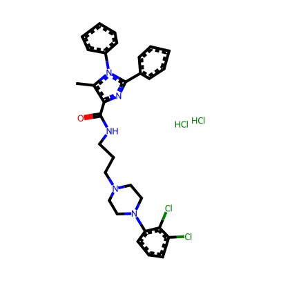 Cc1c(C(=O)NCCCN2CCN(c3cccc(Cl)c3Cl)CC2)nc(-c2ccccc2)n1-c1ccccc1.Cl.Cl